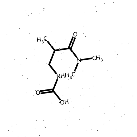 CC(CNC(=O)O)C(=O)N(C)C